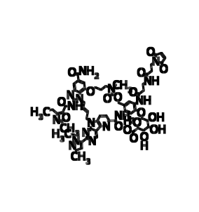 CCc1nc(C)oc1C(=O)Nc1nc2cc(C(N)=O)cc(OCCCN(C)C(=O)OCc3ccc(O[C@@H]4O[C@H](C(=O)O)[C@@H](O)[C@H](O)[C@H]4O)c(NC(=O)CCNC(=O)CCN4C(=O)C=CC4=O)c3)c2n1C/C=C/Cn1c2ccc(C(N)=O)nc2c2cnc(-c3cc(C)nn3CC)nc21